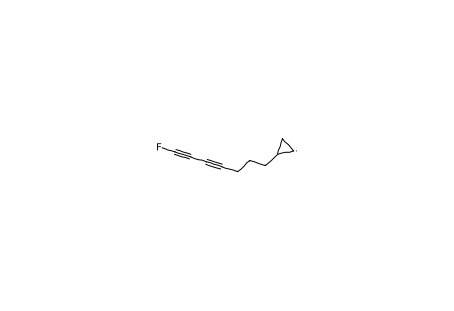 FC#CC#CCCCC1[CH]C1